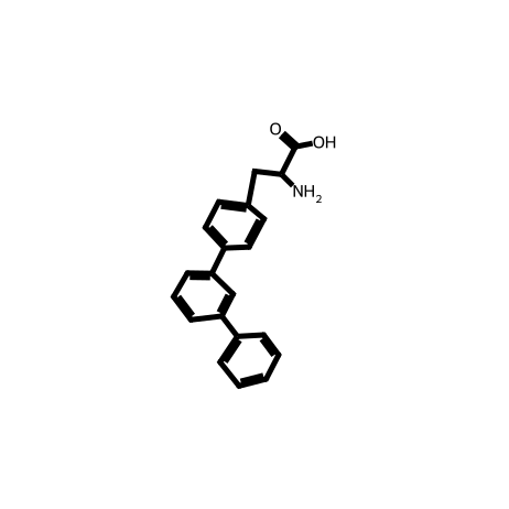 NC(Cc1ccc(-c2cccc(-c3ccccc3)c2)cc1)C(=O)O